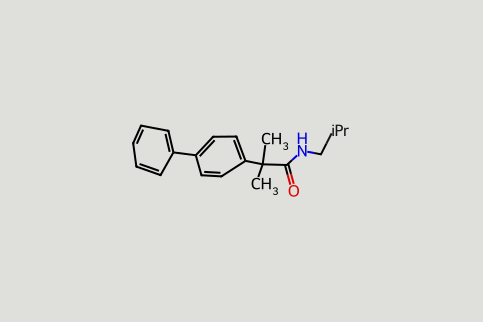 CC(C)CNC(=O)C(C)(C)c1ccc(-c2ccccc2)cc1